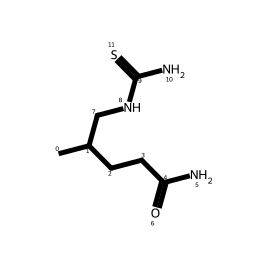 CC(CCC(N)=O)CNC(N)=S